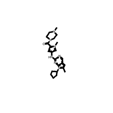 Cc1cc2cnc(Nc3cc(C(=O)N4CCN(C)CC4)n(C)c3)nc2n1C1CCCC1